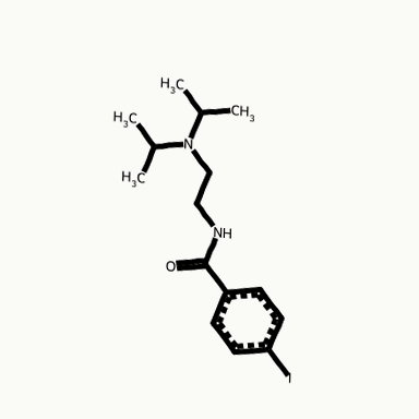 CC(C)N(CCNC(=O)c1ccc(I)cc1)C(C)C